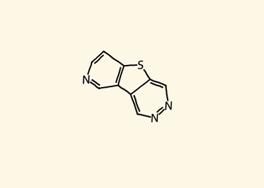 c1cc2sc3cnncc3c2cn1